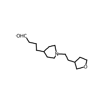 O=[C]CCCC1CCN(CCC2CCOC2)CC1